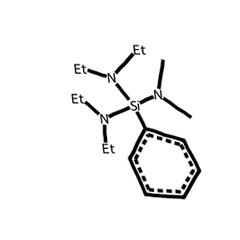 CCN(CC)[Si](c1ccccc1)(N(C)C)N(CC)CC